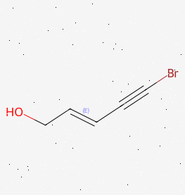 OC/C=C/C#CBr